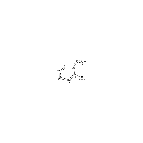 CCc1[c]cccc1S(=O)(=O)O